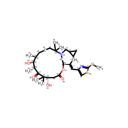 CSc1nc(/C=C(\C)[C@@H]2CN(CC3CC3)C(C)(C)CCC[C@H](C)[C@H](O)[C@@H](C)C(=O)C(C)(C)[C@@H](O)CC(=O)O2)cs1